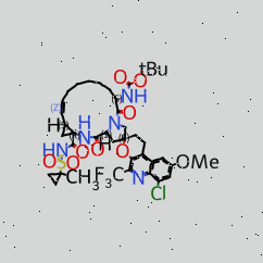 COc1cc(Cl)c2nc(C(F)(F)F)c3c(c2c1)CC[C@]1(C[C@H]2C(=O)N[C@]4(C(=O)NS(=O)(=O)C5(C)CC5)C[C@H]4/C=C\CCCCC[C@H](NC(=O)OC(C)(C)C)C(=O)N2C1)O3